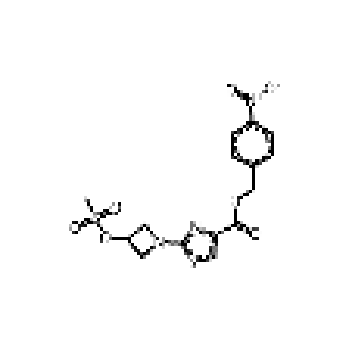 CS(=O)(=O)OC1CN(c2nc(C(=O)OCc3ccc([N+](=O)[O-])cc3)cs2)C1